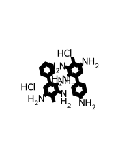 Cc1c(N)cc(-c2ccc(N)cc2)c(N)c1N.Cc1c(N)cc(-c2ccccc2)c(N)c1N.Cl.Cl